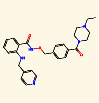 CCN1CCN(C(=O)c2ccc(CONC(=O)c3ccccc3NCc3ccncc3)cc2)CC1